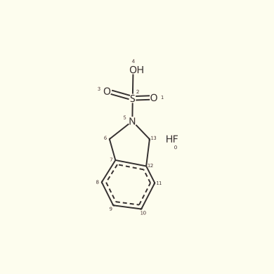 F.O=S(=O)(O)N1Cc2ccccc2C1